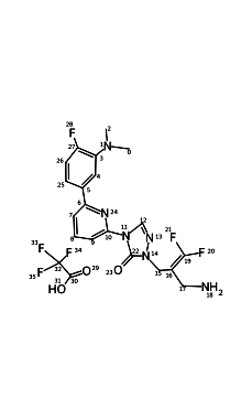 CN(C)c1cc(-c2cccc(-n3cnn(CC(CN)=C(F)F)c3=O)n2)ccc1F.O=C(O)C(F)(F)F